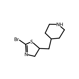 BrC1=NCC(CC2CCNCC2)S1